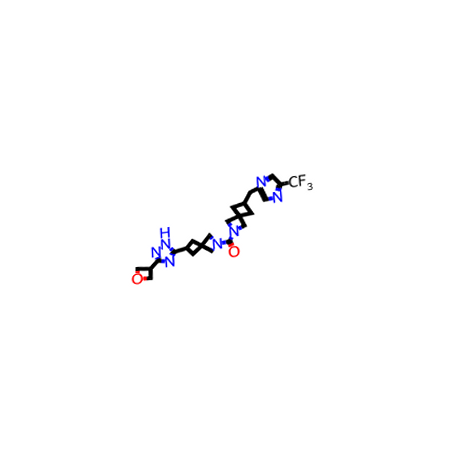 O=C(N1CC2(CC(Cc3cnc(C(F)(F)F)cn3)C2)C1)N1CC2(CC(c3nc(C4COC4)n[nH]3)C2)C1